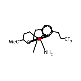 COC1CCC2(CC1)Cc1ccc(CCC(F)(F)F)cc1C21N=C(N)N(C)C1=O